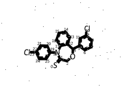 S=C1COC(c2cccc(Cl)c2)c2c[c]ccc2N1c1ccc(Cl)cc1